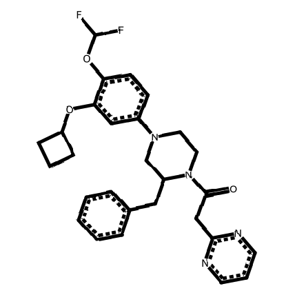 O=C(Cc1ncccn1)N1CCN(c2ccc(OC(F)F)c(OC3CCC3)c2)CC1Cc1ccccc1